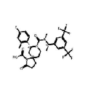 Cc1cc(F)ccc1[C@H]1C[C@]2(CCC(=O)N2C(=O)O)CCN1C(=O)N(C)[C@H](C)c1cc(C(F)(F)F)cc(C(F)(F)F)c1